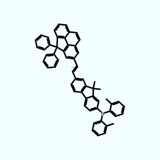 Cc1ccccc1N(c1ccc2c(c1)C(C)(C)c1cc(/C=C/c3cc4c5c(ccc6cccc(c65)C4(c4ccccc4)c4ccccc4)c3)ccc1-2)c1ccccc1C